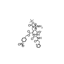 CC(C)(C)OC(=O)N(CC1=C(C(=O)OCc2ccc([N+](=O)[O-])cc2)N2C(=O)C(NC(=O)Cc3cccs3)[C@@H]2[S+]([O-])C1)S(N)(=O)=O